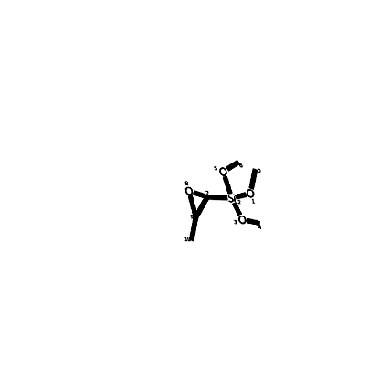 CO[Si](OC)(OC)C1OC1C